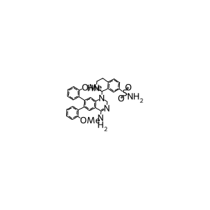 COc1ccccc1-c1cc2c(cc1-c1ccccc1OC)N(C1NCCc3ccc(S(N)(=O)=O)cc31)CN=C2N